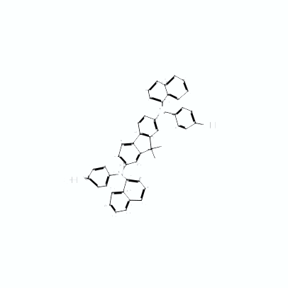 CC1(C)c2cc(N(c3ccc(C=O)cc3)c3cccc4ccccc34)ccc2-c2ccc(N(c3ccc(C=O)cc3)c3cccc4ccccc34)cc21